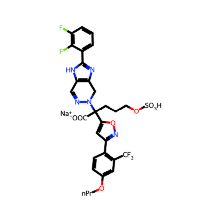 CCCOc1ccc(-c2cc(C(CCCOS(=O)(=O)O)(C(=O)[O-])N3Cc4nc(-c5cccc(F)c5F)[nH]c4C=N3)on2)c(C(F)(F)F)c1.[Na+]